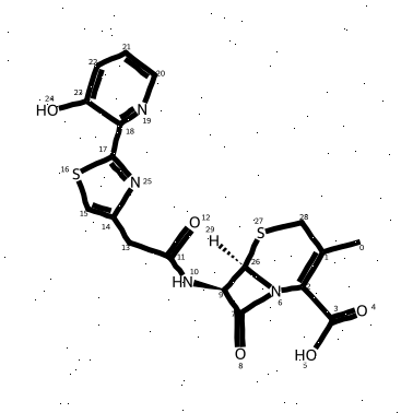 CC1=C(C(=O)O)N2C(=O)[C@@H](NC(=O)Cc3csc(-c4ncccc4O)n3)[C@H]2SC1